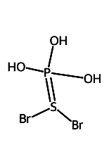 OP(O)(O)=S(Br)Br